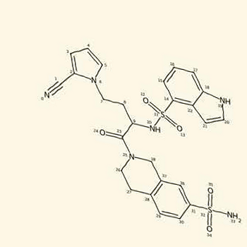 N#Cc1cccn1CCC(NS(=O)(=O)c1cccc2[nH]ccc12)C(=O)N1CCc2ccc(S(N)(=O)=O)cc2C1